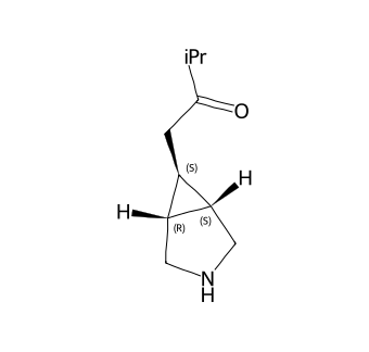 CC(C)C(=O)C[C@H]1[C@@H]2CNC[C@@H]21